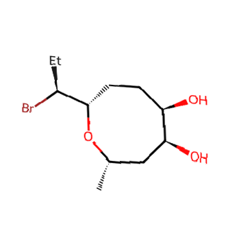 CC[C@H](Br)[C@@H]1CC[C@@H](O)[C@@H](O)C[C@H](C)O1